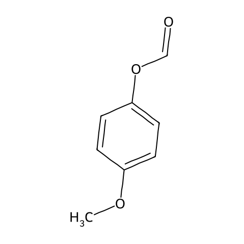 COc1ccc(OC=O)cc1